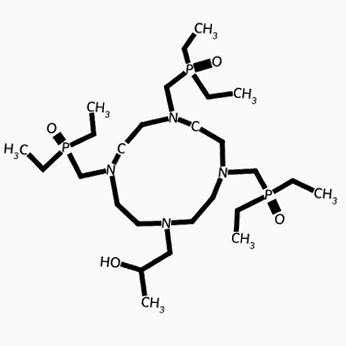 CCP(=O)(CC)CN1CCN(CC(C)O)CCN(CP(=O)(CC)CC)CCN(CP(=O)(CC)CC)CC1